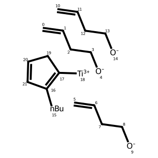 C=CCC[O-].C=CCC[O-].C=CCC[O-].CCCCC1=[C]([Ti+3])CC=C1